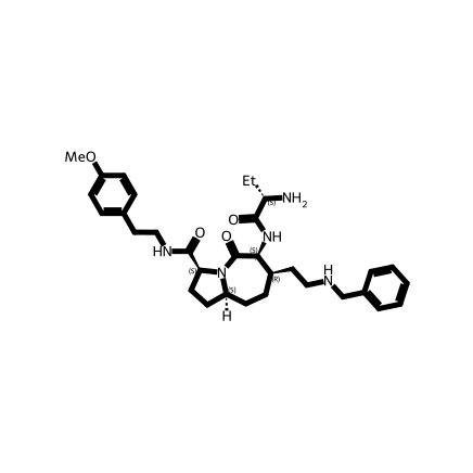 CC[C@H](N)C(=O)N[C@@H]1C(=O)N2[C@@H](CC[C@@H]1CCNCc1ccccc1)CC[C@H]2C(=O)NCCc1ccc(OC)cc1